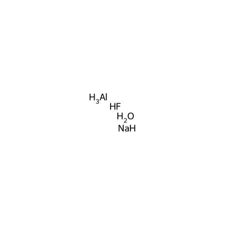 F.O.[AlH3].[NaH]